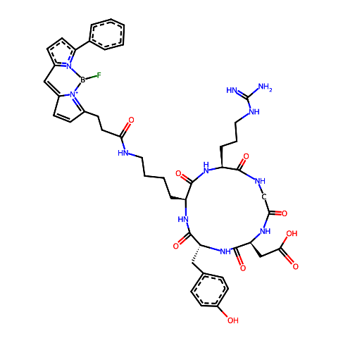 N=C(N)NCCC[C@@H]1NC(=O)[C@H](CCCCNC(=O)CCC2=[N+]3B(F)n4c(ccc4-c4ccccc4)C=C3C=C2)NC(=O)[C@@H](Cc2ccc(O)cc2)NC(=O)[C@H](CC(=O)O)NC(=O)CNC1=O